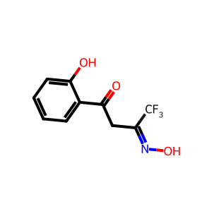 O=C(C/C(=N/O)C(F)(F)F)c1ccccc1O